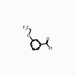 CCC(=O)c1cccc(OCC(F)(F)F)c1